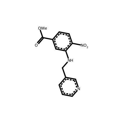 COC(=O)c1ccc([N+](=O)[O-])c(NCc2cccnc2)c1